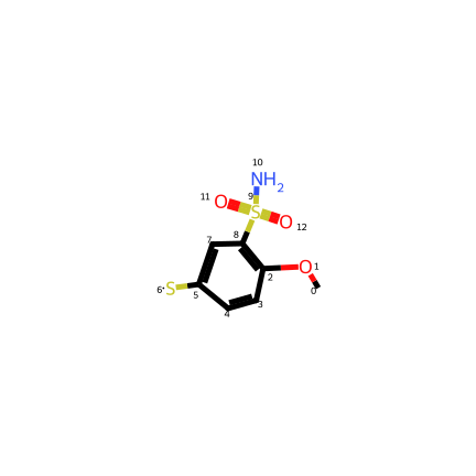 COc1ccc([S])cc1S(N)(=O)=O